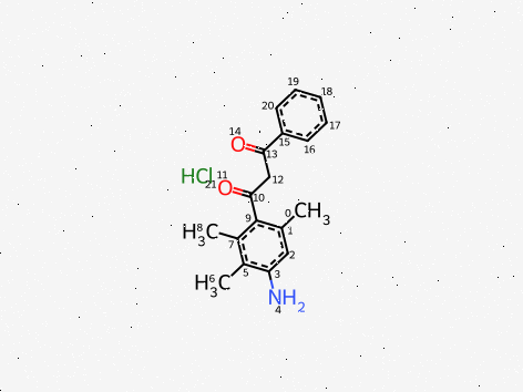 Cc1cc(N)c(C)c(C)c1C(=O)CC(=O)c1ccccc1.Cl